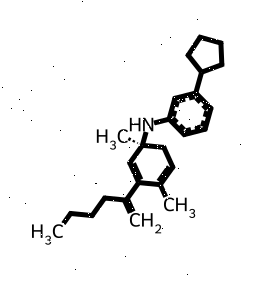 C=C(CCCC)C1=C[C@@](C)(Nc2cccc(C3CCCC3)c2)CC=C1C